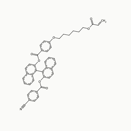 C=CC(=O)OCCCCCCOc1ccc(C(=O)Oc2ccc3ccccc3c2-c2c(OC(=O)c3ccc(C#N)cc3)ccc3ccccc23)cc1